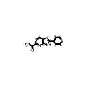 NC(=O)c1ncc2nc(-c3ccncc3)[nH]c2n1